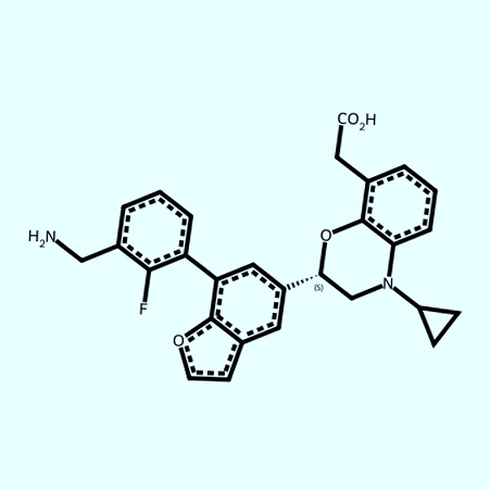 NCc1cccc(-c2cc([C@H]3CN(C4CC4)c4cccc(CC(=O)O)c4O3)cc3ccoc23)c1F